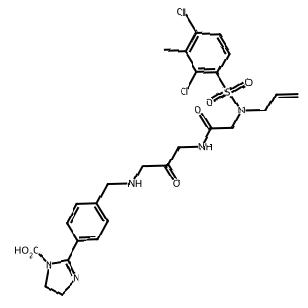 C=CCN(CC(=O)NCC(=O)CNCc1ccc(C2=NCCN2C(=O)O)cc1)S(=O)(=O)c1ccc(Cl)c(C)c1Cl